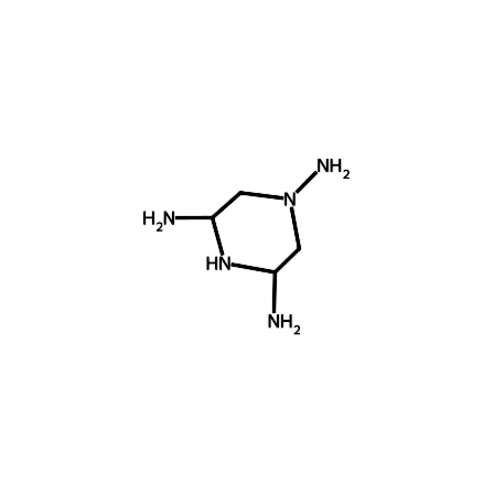 NC1CN(N)CC(N)N1